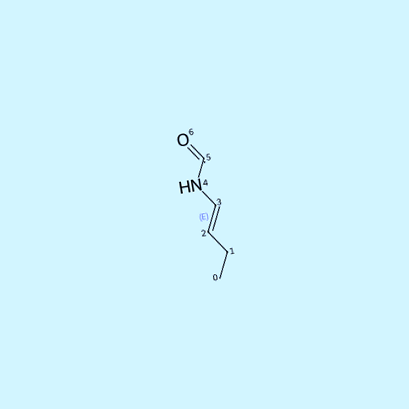 CC/C=C/N[C]=O